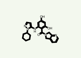 O=C(c1c(O)cc(O)cc1Nc1ccnn1C1CCCCC1)N1Cc2cccnc2C1